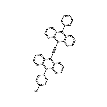 N#Cc1ccc(-c2c3ccccc3c(C#Cc3c4ccccc4c(-c4ccccc4)c4ccccc34)c3ccccc23)cc1